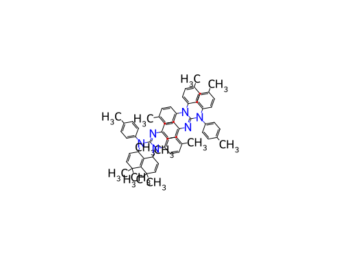 Cc1ccc(N(C(=Nc2ccc(N=C3N(c4ccc(C)cc4)C4(C)C=CC(C)(C)C5=C4C(C)(C=CC5(C)C)N3c3ccc(C)cc3)cc2)N(c2ccc(C)cc2)c2ccc(C)cc2)c2ccc(C)cc2)cc1